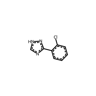 Clc1ccccc1-c1nc[nH]n1